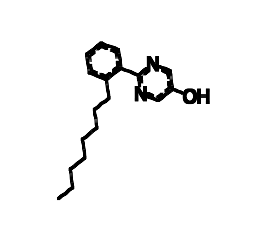 CCCCCCCCc1ccccc1-c1ncc(O)cn1